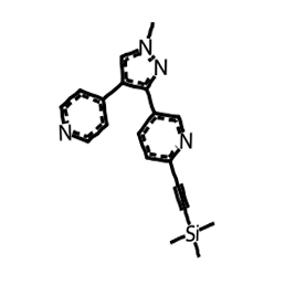 Cn1cc(-c2ccncc2)c(-c2ccc(C#C[Si](C)(C)C)nc2)n1